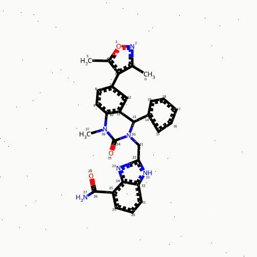 Cc1noc(C)c1-c1ccc2c(c1)C(c1ccccc1)N(Cc1nc3c(C(N)=O)cccc3[nH]1)C(=O)N2C